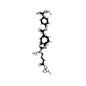 COC(=O)CCCN(C)c1nc2ccc(C(=O)Oc3ccc(C(=N)N)cc3)cc2s1